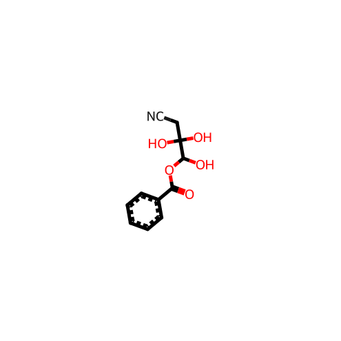 N#CCC(O)(O)C(O)OC(=O)c1ccccc1